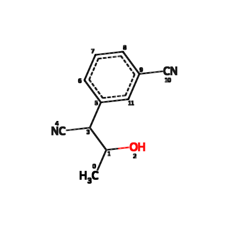 CC(O)C(C#N)c1cccc(C#N)c1